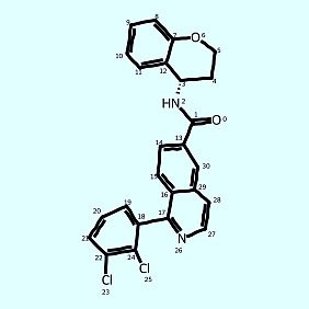 O=C(N[C@H]1CCOc2ccccc21)c1ccc2c(-c3cccc(Cl)c3Cl)nccc2c1